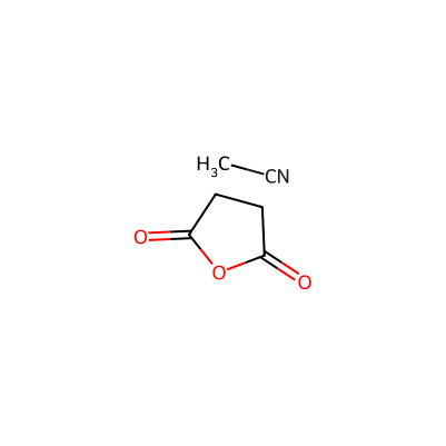 CC#N.O=C1CCC(=O)O1